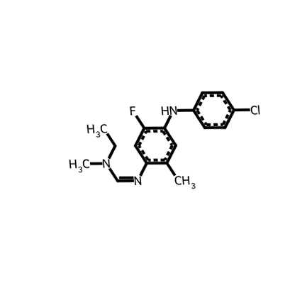 CCN(C)/C=N\c1cc(F)c(Nc2ccc(Cl)cc2)cc1C